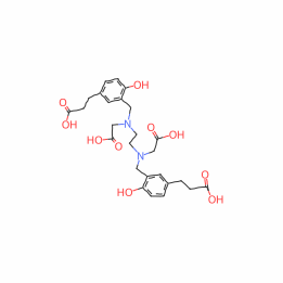 O=C(O)CCc1ccc(O)c(CN(CCN(CC(=O)O)Cc2cc(CCC(=O)O)ccc2O)CC(=O)O)c1